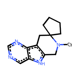 CN1Cc2[nH]c3cncnc3c2CC12CCCC2